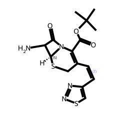 CC(C)(C)OC(=O)C1=C(/C=C\c2csnn2)CS[C@H]2C(N)C(=O)N12